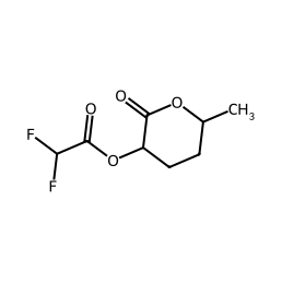 CC1CCC(OC(=O)C(F)F)C(=O)O1